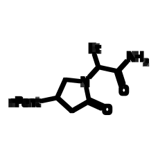 CCCCCC1CC(=O)N(C(CC)C(N)=O)C1